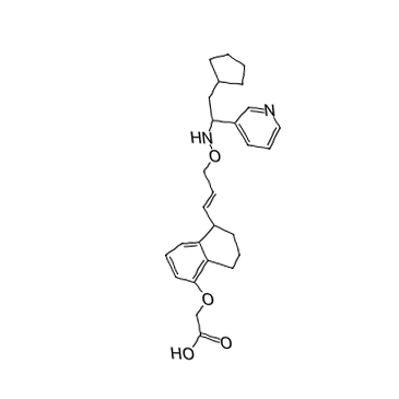 O=C(O)COc1cccc2c1CCCC2C=CCONC(CC1CCCC1)c1cccnc1